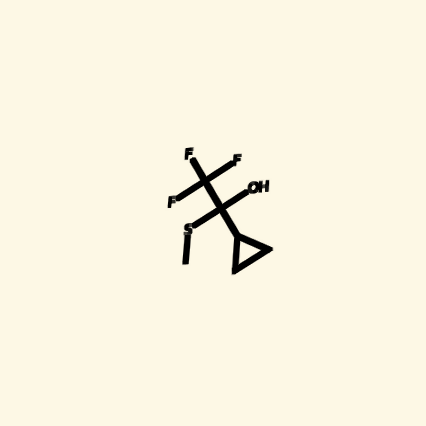 CSC(O)(C1CC1)C(F)(F)F